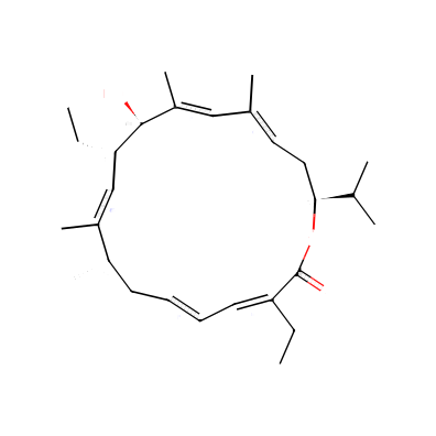 CC/C1=C\C=C\C[C@H](C)/C(C)=C/[C@H](CC)[C@@H](O)/C(C)=C/C(C)=C/C[C@@H](C(C)C)OC1=O